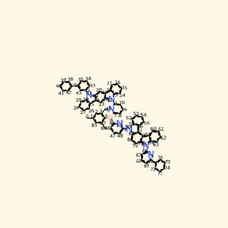 Cc1cc(C)c(B(c2cccc(-n3c4ccccc4c4cc5c(cc43)c3ccccc3n5-c3cccc(-c4ccccc4)c3)n2)c2cccc(-n3c4ccccc4c4c5c6ccccc6n(-c6cccc(-c7ccccc7)n6)c5ccc43)n2)c(C)c1